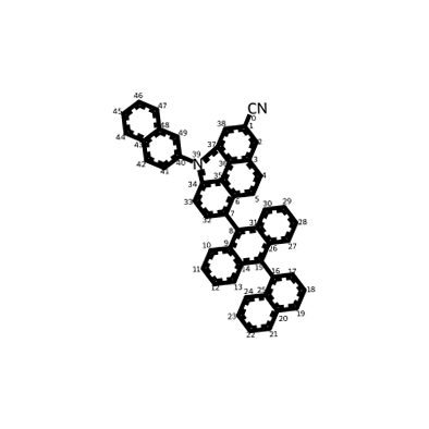 N#Cc1cc2ccc3c(-c4c5ccccc5c(-c5cccc6ccccc56)c5ccccc45)ccc4c3c2c(c1)n4-c1ccc2ccccc2c1